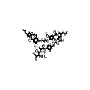 C/C=C/C1=CN2C(=O)c3cc(OC)c(OCCCOc4cc5c(cc4OC)C(=O)N4C=C(/C=C/C)C[C@H]4[C@H](O)N5C(=O)OCc4ccc(NC(=O)C(C)NC(=O)C(N)C(C)C)cc4)cc3N=C[C@@H]2C1